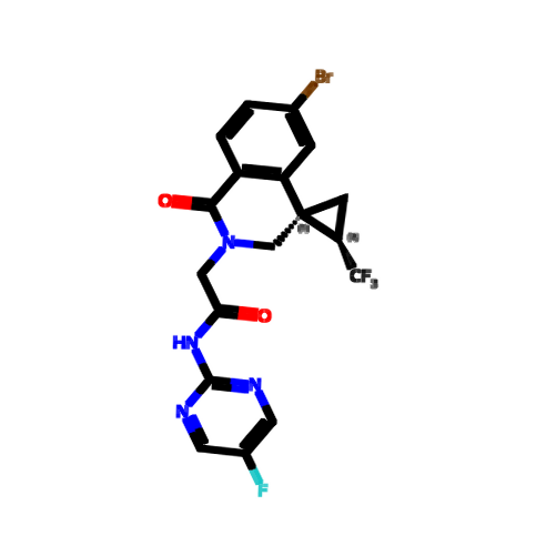 O=C(CN1C[C@@]2(C[C@H]2C(F)(F)F)c2cc(Br)ccc2C1=O)Nc1ncc(F)cn1